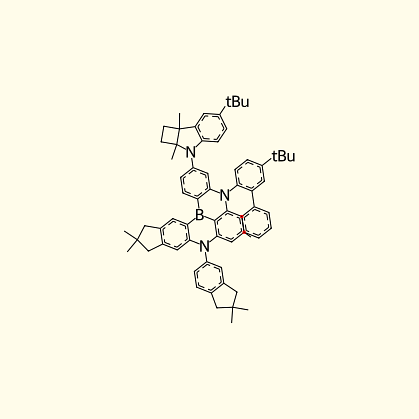 Cc1cc2c3c(c1)N(c1ccc(C(C)(C)C)cc1-c1ccccc1)c1cc(N4c5ccc(C(C)(C)C)cc5C5(C)CCC45C)ccc1B3c1cc3c(cc1N2c1ccc2c(c1)CC(C)(C)C2)CC(C)(C)C3